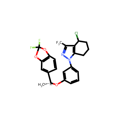 C[C@@H](Oc1cccc(-n2nc(C(F)(F)F)c3c2CCCC3Cl)c1)c1ccc2c(c1)OC(F)(F)O2